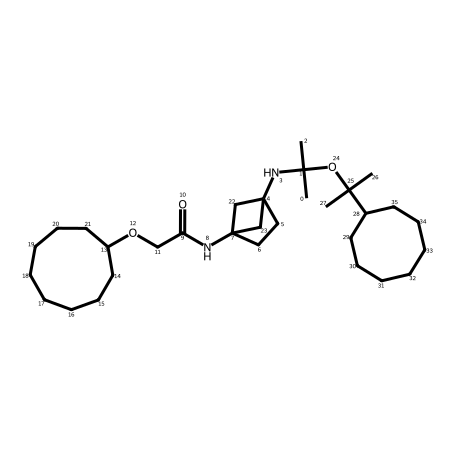 CC(C)(NC12CCC(NC(=O)COC3CCCCCCCC3)(C1)C2)OC(C)(C)C1CCCCCCC1